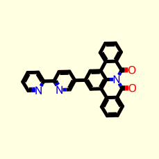 O=c1c2ccccc2c2cc(-c3ccc(-c4ccccn4)nc3)cc3c4ccccc4c(=O)n1c23